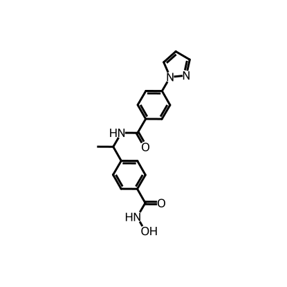 CC(NC(=O)c1ccc(-n2cccn2)cc1)c1ccc(C(=O)NO)cc1